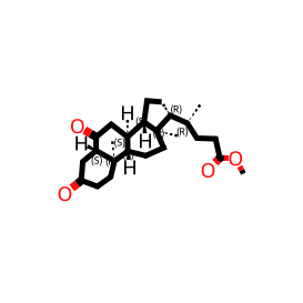 COC(=O)CC[C@@H](C)[C@H]1CC[C@H]2[C@@H]3CC(=O)[C@H]4CC(=O)CC[C@]4(C)[C@H]3CC[C@]12C